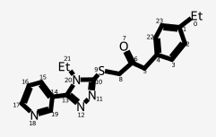 CCc1ccc(CC(=O)CSc2nnc(-c3cccnc3)n2CC)cc1